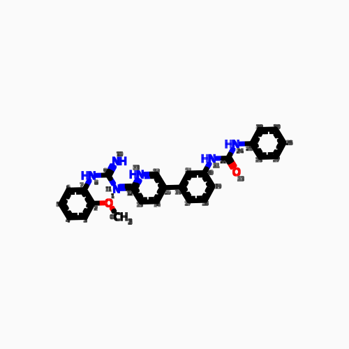 COc1ccccc1NC(=N)/N=c1/ccc(-c2cccc(NC(=O)Nc3ccccc3)c2)c[nH]1